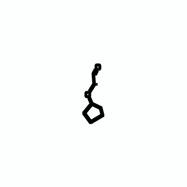 O=C[CH]OC1CCCC1